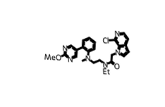 CCN(CCN(C)c1ccccc1-c1cnc(OC)nc1)C(=O)Cn1ccc2ccnc(Cl)c21